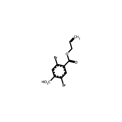 C=CCOC(=O)c1cc(Br)c(C(=O)O)cc1Br